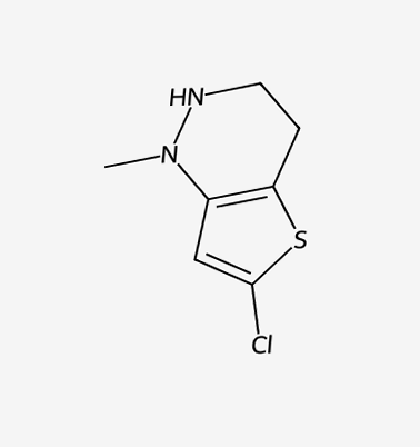 CN1NCCc2sc(Cl)cc21